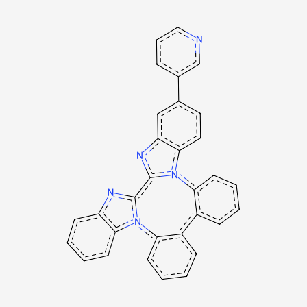 c1cncc(-c2ccc3c(c2)nc2c4nc5ccccc5n4c4ccccc4c4ccccc4n32)c1